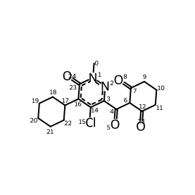 Cn1nc(C(=O)C2C(=O)CCCC2=O)c(Cl)c(C2CCCCC2)c1=O